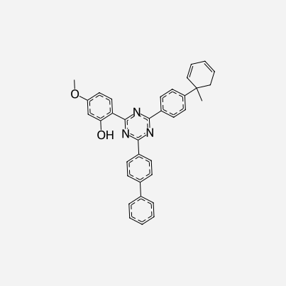 COc1ccc(-c2nc(-c3ccc(-c4ccccc4)cc3)nc(-c3ccc(C4(C)C=CC=CC4)cc3)n2)c(O)c1